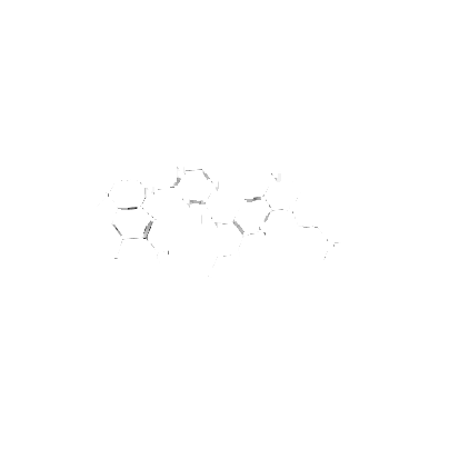 CN(C)CCN(C)c1nc(OCC(F)(F)F)c(Nc2ncnc(N3CCC(C)(C)c4cc(F)c(Cl)cc43)n2)cc1N